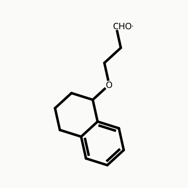 O=[C]CCOC1CCCc2ccccc21